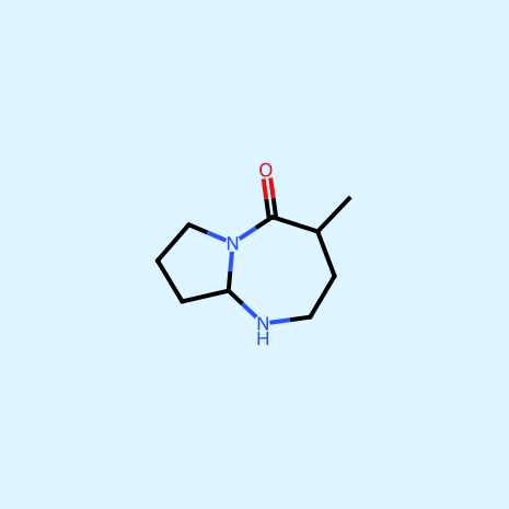 CC1CCNC2CCCN2C1=O